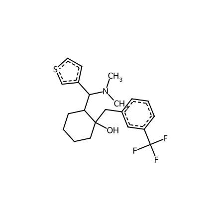 CN(C)C(c1ccsc1)C1CCCCC1(O)Cc1cccc(C(F)(F)F)c1